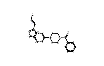 CC(=O)/C=C/c1c[nH]c2ncc(N3CCN(C(=O)c4ccccc4)CC3)cc12